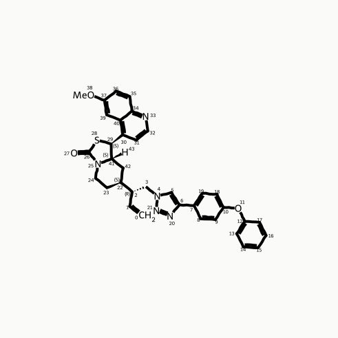 C=C[C@@H](Cn1cc(-c2ccc(Oc3ccccc3)cc2)nn1)[C@H]1CCN2C(=O)S[C@@H](c3ccnc4ccc(OC)cc34)[C@@H]2C1